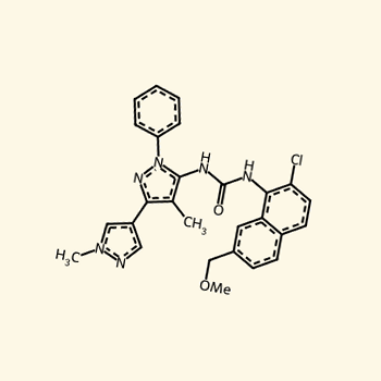 COCc1ccc2ccc(Cl)c(NC(=O)Nc3c(C)c(-c4cnn(C)c4)nn3-c3ccccc3)c2c1